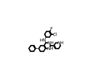 FC1=C(Cl)C[C@@H](N[C@H]2NC(C3=CCCNC3)NC3=C2C[C@H](C2=CCCCC2)CC3)CC1